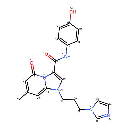 Cc1cc(=O)n2c(C(=O)Nc3ccc(O)cc3)cn(CCCn3ccnc3)c2c1